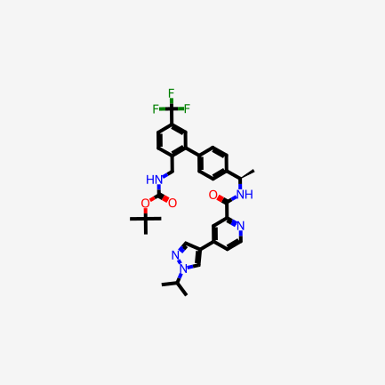 CC(C)n1cc(-c2ccnc(C(=O)N[C@H](C)c3ccc(-c4cc(C(F)(F)F)ccc4CNC(=O)OC(C)(C)C)cc3)c2)cn1